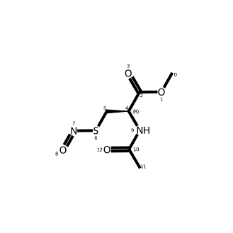 COC(=O)[C@H](CSN=O)NC(C)=O